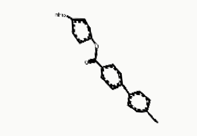 CCCCCCc1ccc(OC(=O)c2ccc(-c3ccc(C)cc3)cc2)cc1